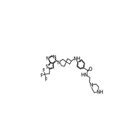 O=C(NCCN1CCNCC1)c1ccc(NC2CC3(CCN(c4ncnc5sc(CC(F)(F)F)cc45)C3)C2)cc1